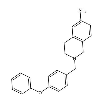 Nc1ccc2c(c1)CCN(Cc1ccc(Oc3ccccc3)cc1)C2